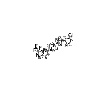 FC(F)(F)c1nnc2ccc(N3CCN(c4noc(-c5cccc(Cl)c5)n4)CC3)nn12